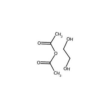 CC(=O)OC(C)=O.OCCO